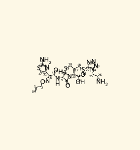 C=CCON=C(C(=O)NC1C(=O)N2C(C(=O)O)=C(CSc3nnnn3CCN)CS[C@@H]12)c1csc(N)n1